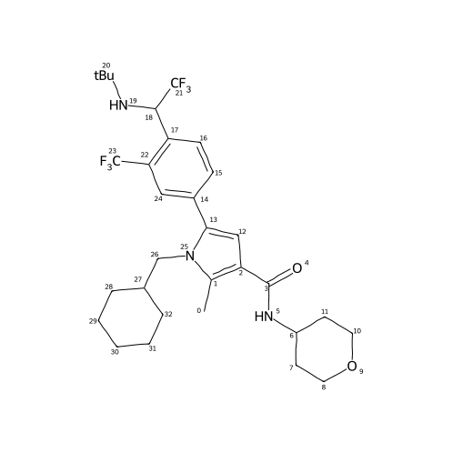 Cc1c(C(=O)NC2CCOCC2)cc(-c2ccc(C(NC(C)(C)C)C(F)(F)F)c(C(F)(F)F)c2)n1CC1CCCCC1